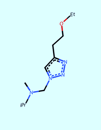 CCOCCc1cn(CN(C)C(C)C)nn1